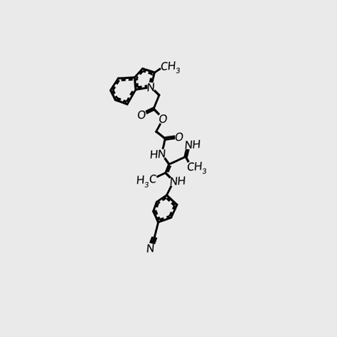 CC(=N)/C(NC(=O)COC(=O)Cn1c(C)cc2ccccc21)=C(/C)Nc1ccc(C#N)cc1